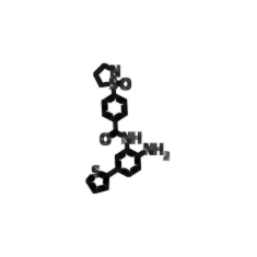 Nc1ccc(-c2cccs2)cc1NC(=O)c1ccc(S2(=O)=NCCC2)cc1